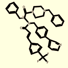 O=C([C@H](Cc1ccccc1)N(Cc1ccc(-c2cccnc2)cc1)C(=O)C=Cc1ccc(C(F)(F)F)cc1)N1CCN(Cc2ccccc2)CC1